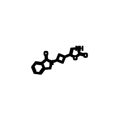 O=C1c2ccccc2CN1C1CC(c2c[nH]c(=O)o2)C1